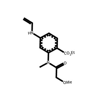 C=CNc1ccc(C(=O)OCC)c(N(C)C(=O)COC)c1